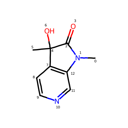 CN1C(=O)C(C)(O)c2ccncc21